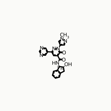 Cn1cc(-n2nc(-c3cncnc3)cc(C(=O)N[C@H]3c4ccccc4C[C@H]3O)c2=O)cn1